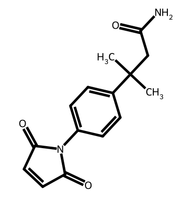 CC(C)(CC(N)=O)c1ccc(N2C(=O)C=CC2=O)cc1